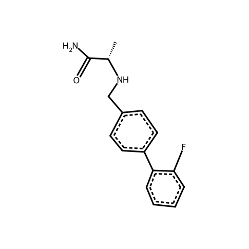 C[C@H](NCc1ccc(-c2ccccc2F)cc1)C(N)=O